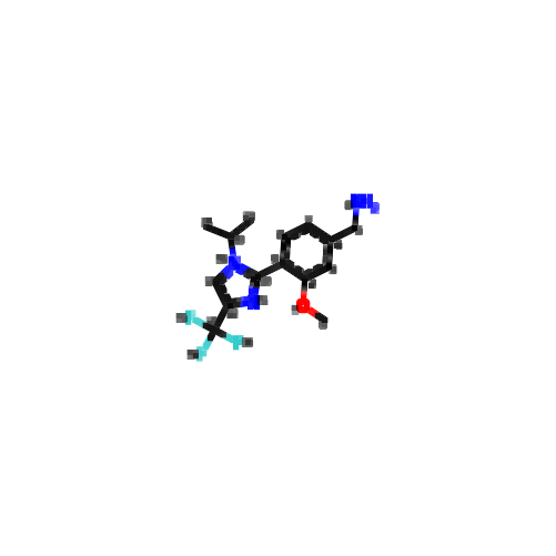 COc1cc(CN)ccc1-c1nc(C(F)(F)F)cn1C(C)C